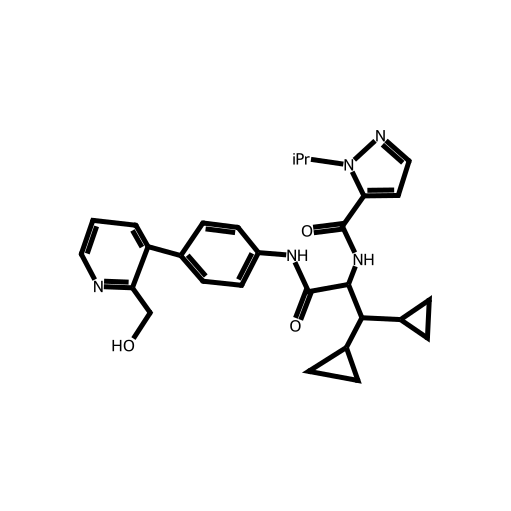 CC(C)n1nccc1C(=O)NC(C(=O)Nc1ccc(-c2cccnc2CO)cc1)C(C1CC1)C1CC1